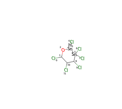 ClC1[O][SnH]([Cl])[Sn]([Cl])([Cl])[CH](Cl)C1Cl